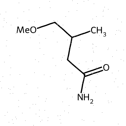 COCC(C)CC(N)=O